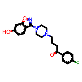 O=C(CCCN1CCN(c2noc3cc(O)ccc23)CC1)c1ccc(F)cc1